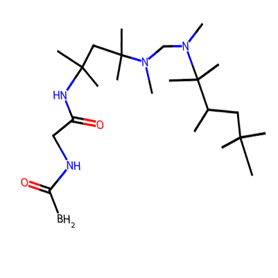 BC(=O)NCC(=O)NC(C)(C)CC(C)(C)N(C)CN(C)C(C)(C)C(C)CC(C)(C)C